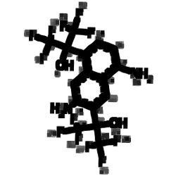 Nc1cc2c(C(O)(C(F)(F)F)C(F)(F)F)ccc(N)c2cc1C(O)(C(F)(F)F)C(F)(F)F